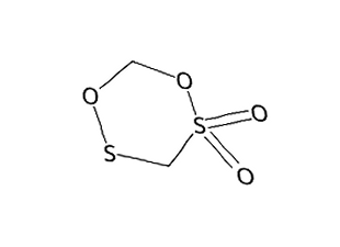 O=S1(=O)CSOCO1